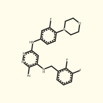 CC(=O)c1nnc(Nc2ccc(N3CCOCC3)c(F)c2)cc1NCc1cccc(F)c1F